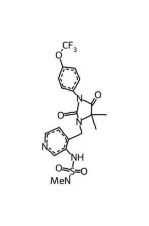 CNS(=O)(=O)Nc1cnccc1CN1C(=O)N(c2ccc(OC(F)(F)F)cc2)C(=O)C1(C)C